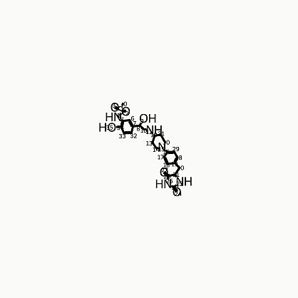 CS(=O)(=O)Nc1cc(C(O)CNC2CCN(c3ccc(CC4NC(=O)NC4=O)cc3)CC2)ccc1O